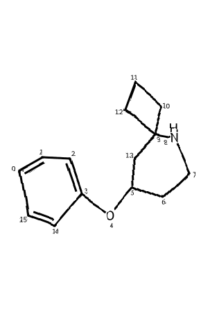 [c]1ccc(OC2CCNC3(CCC3)C2)cc1